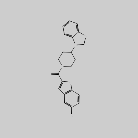 O=C(c1cc2cc(Br)ccc2[nH]1)N1CCC(N2[CH]Nc3ccccc32)CC1